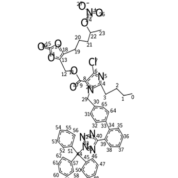 CCCCc1nc(Cl)c(C(=O)OCc2oc(=O)oc2CCCC(C)O[N+](=O)[O-])n1Cc1ccc(-c2ccccc2-c2nnn(C(c3ccccc3)(c3ccccc3)c3ccccc3)n2)cc1